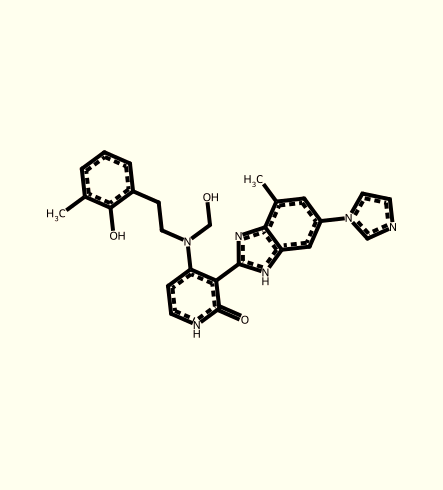 Cc1cccc(CCN(CO)c2cc[nH]c(=O)c2-c2nc3c(C)cc(-n4ccnc4)cc3[nH]2)c1O